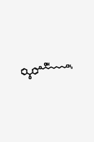 CCCCCCCCC(O)COc1ccc(C(=O)c2ccccc2)cc1